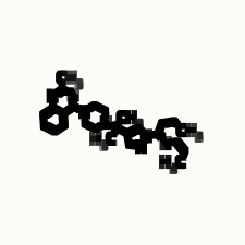 C\C=C/N=C(\C=C/C)n1cc(C(C)(C)N2CCN(c3nc(C)nc4ccccc34)CC2)cn1